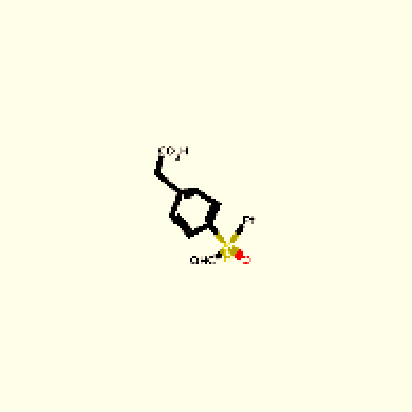 CC[SH](=O)(C=O)c1ccc(CC(=O)O)cc1